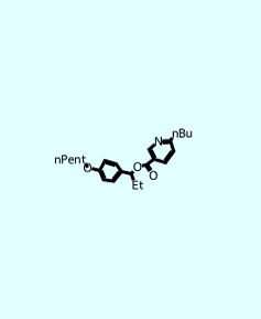 CCCCCOc1ccc(C(CC)OC(=O)c2ccc(CCCC)nc2)cc1